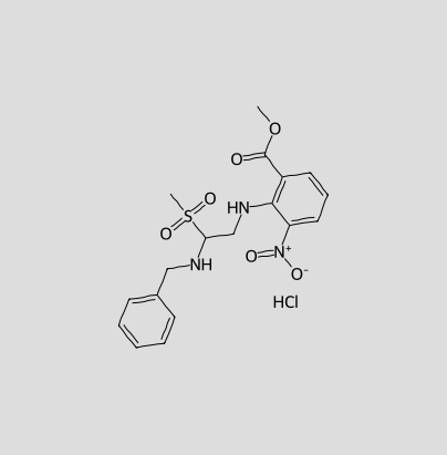 COC(=O)c1cccc([N+](=O)[O-])c1NCC(NCc1ccccc1)S(C)(=O)=O.Cl